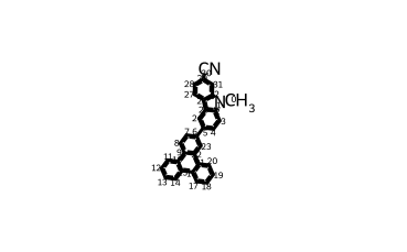 Cn1c2ccc(-c3ccc4c5ccccc5c5ccccc5c4c3)cc2c2ccc(C#N)cc21